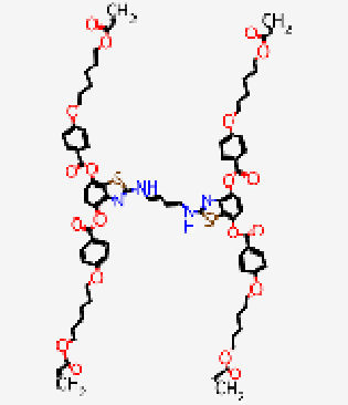 C=CC(=O)OCCCCCCOc1ccc(C(=O)Oc2ccc(OC(=O)c3ccc(OCCCCCCOC(=O)C=C)cc3)c3sc(N/C=C/C=C/Nc4nc5c(OC(=O)c6ccc(OCCCCCCOC(=O)C=C)cc6)ccc(OC(=O)c6ccc(OCCCCCCOC(=O)C=C)cc6)c5s4)nc23)cc1